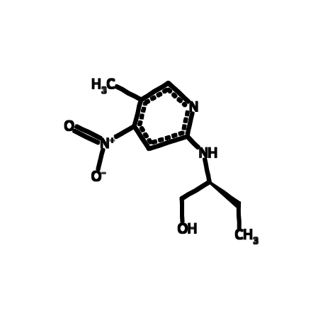 CC[C@@H](CO)Nc1cc([N+](=O)[O-])c(C)cn1